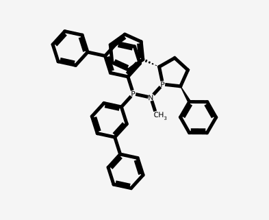 CN(P(c1cccc(-c2ccccc2)c1)c1cccc(-c2ccccc2)c1)P1[C@H](c2ccccc2)CC[C@H]1c1ccccc1